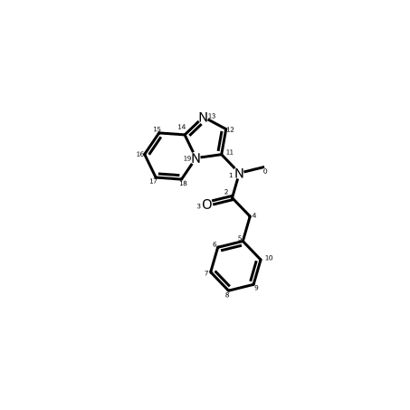 CN(C(=O)Cc1ccccc1)c1cnc2ccccn12